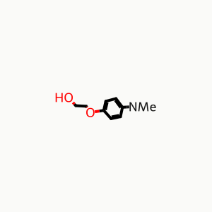 CNc1ccc(OCCO)cc1